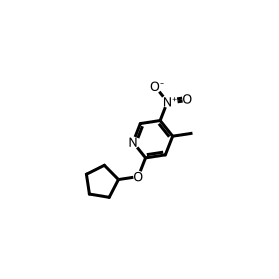 Cc1cc(OC2CCCC2)ncc1[N+](=O)[O-]